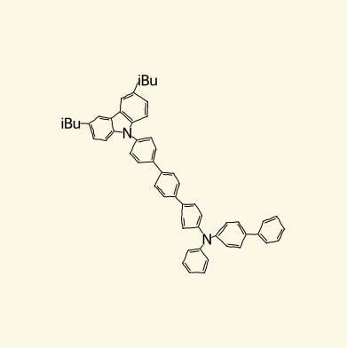 CCC(C)c1ccc2c(c1)c1cc(C(C)CC)ccc1n2-c1ccc(-c2ccc(-c3ccc(N(c4ccccc4)c4ccc(-c5ccccc5)cc4)cc3)cc2)cc1